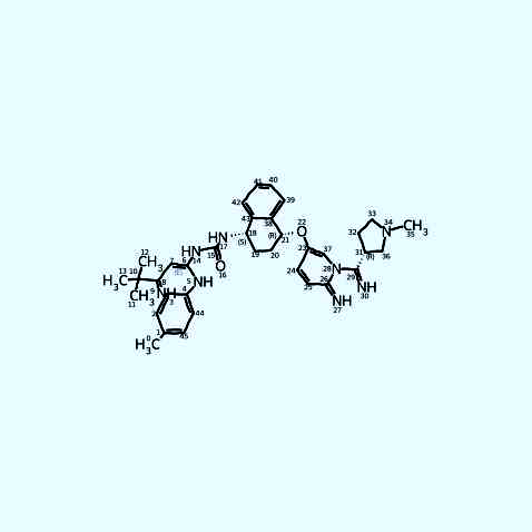 Cc1ccc(N/C(=C\C(=N)C(C)(C)C)NC(=O)N[C@H]2CC[C@@H](Oc3ccc(=N)n(C(=N)[C@@H]4CCN(C)C4)c3)c3ccccc32)cc1